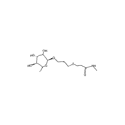 CNC(=O)CCSCCCO[C@H]1OC(C)[C@@H](O)[C@H](O)C1O